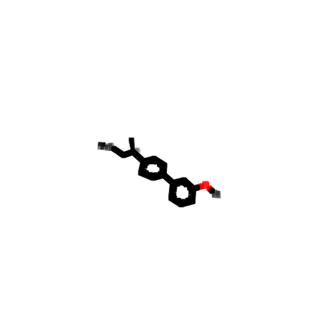 CCOc1cccc(-c2ccc([C@H](C)CSC)cc2)c1